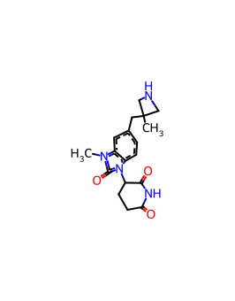 Cn1c(=O)n(C2CCC(=O)NC2=O)c2ccc(CC3(C)CNC3)cc21